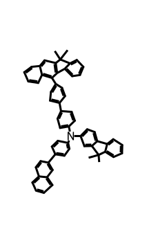 CC1(C)c2ccccc2-c2ccc(N(c3ccc(-c4ccc(-c5c6c(cc7ccccc57)C(C)(C)c5ccccc5-6)cc4)cc3)c3ccc(-c4ccc5ccccc5c4)cc3)cc21